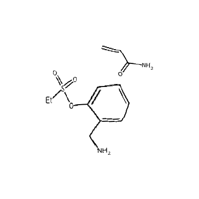 C=CC(N)=O.CCS(=O)(=O)Oc1ccccc1CN